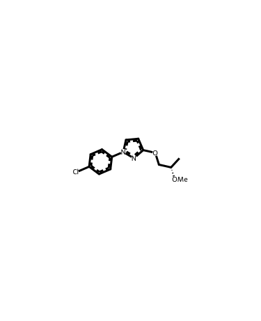 CO[C@@H](C)COc1ccn(-c2ccc(Cl)cc2)n1